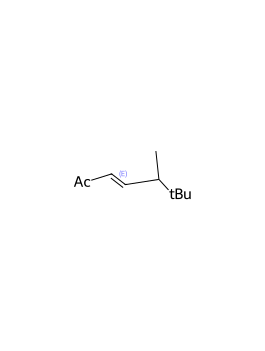 CC(=O)/C=C/C(C)C(C)(C)C